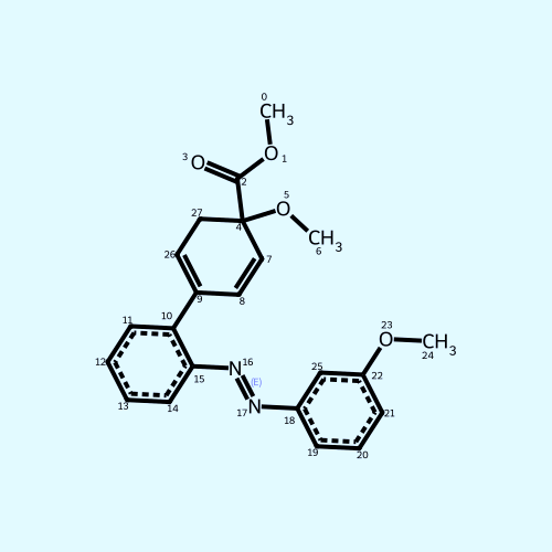 COC(=O)C1(OC)C=CC(c2ccccc2/N=N/c2cccc(OC)c2)=CC1